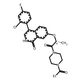 CCC(=O)N1CCN(C(=O)[C@@H](C)Oc2ccc3c(-c4ccc(F)cc4Cl)c[nH]c(=O)c3c2)CC1